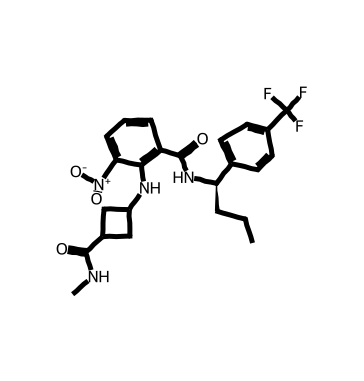 CCC[C@@H](NC(=O)c1cccc([N+](=O)[O-])c1NC1CC(C(=O)NC)C1)c1ccc(C(F)(F)F)cc1